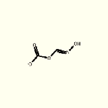 [O]C(=O)O/C=N/O